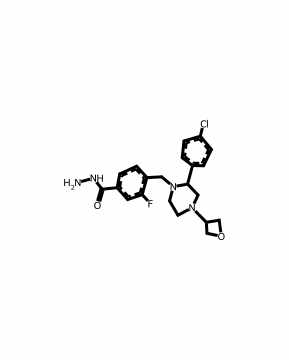 NNC(=O)c1ccc(CN2CCN(C3COC3)CC2c2ccc(Cl)cc2)c(F)c1